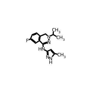 Cc1cc(NC2=NN(C(C)C)Cc3ccc(F)cc32)n[nH]1